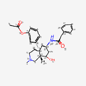 CC(=O)Oc1cccc([C@@]23CCN(C)C[C@H]2C(O)C[C@H](NC(=O)c2ccccc2)C3)c1